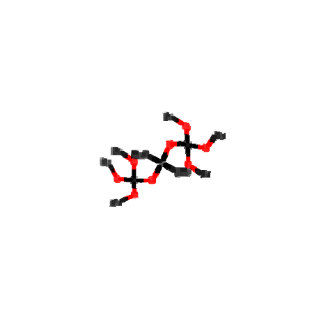 CCC(C)O[Si](OC(C)CC)(OC(C)CC)[O][Ti]([O]C)([O]C)[O][Si](OC(C)CC)(OC(C)CC)OC(C)CC